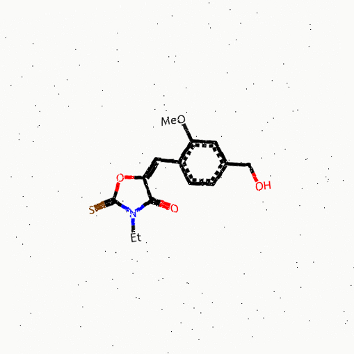 CCN1C(=O)/C(=C\c2ccc(CO)cc2OC)OC1=S